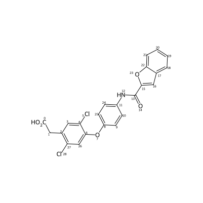 O=C(O)Cc1cc(Cl)c(Oc2ccc(NC(=O)c3cc4ccccc4o3)cc2)cc1Cl